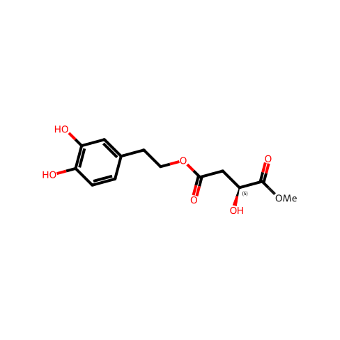 COC(=O)[C@@H](O)CC(=O)OCCc1ccc(O)c(O)c1